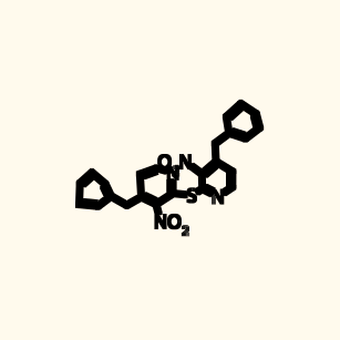 O=[N+]([O-])c1c(Cc2ccccc2)ccnc1Sc1nccc(Cc2ccccc2)c1[N+](=O)[O-]